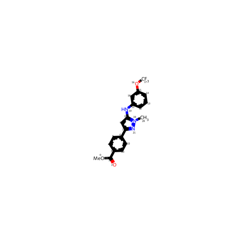 COC(=O)c1ccc(-c2cc(Nc3cccc(OC(F)(F)F)c3)n(C)n2)cc1